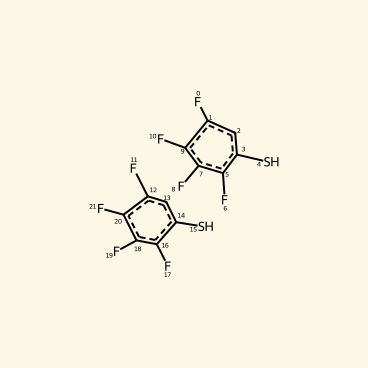 Fc1cc(S)c(F)c(F)c1F.Fc1cc(S)c(F)c(F)c1F